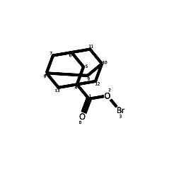 O=C(OBr)C12CC3CC(CC(C3)C1)C2